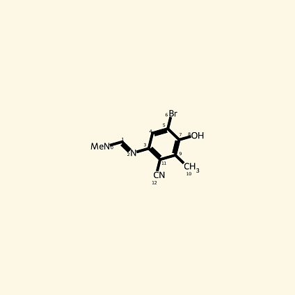 CN/C=N/c1cc(Br)c(O)c(C)c1C#N